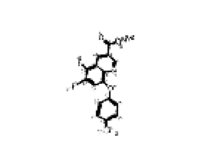 COC(=O)c1cnc2c(Oc3ccc(C(F)(F)F)cc3)cc(F)c(F)c2c1